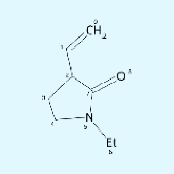 C=CC1CCN(CC)C1=O